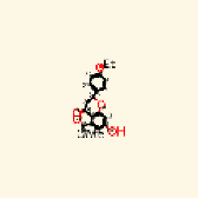 CCOc1ccc(C2CC(=O)c3c(cc(O)cc3C(=O)OC)O2)cc1